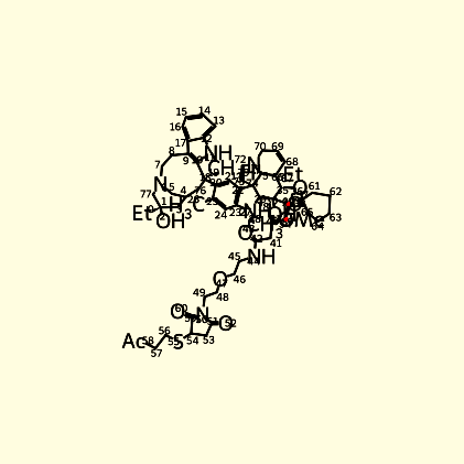 CC[C@]1(O)CC2CN(CCc3c([nH]c4ccccc34)[C@@](C)(c3cc4c(cc3C)N(C)[C@H]3[C@@](O)(C(=O)OC)[C@H](O[Si]5(CCCCC(=O)NCCOCCN6C(=O)CC(SCCC(C)=O)C6=O)CCCCC5)[C@]5(CC)C=CCN6CC[C@]43[C@@H]65)C2)C1